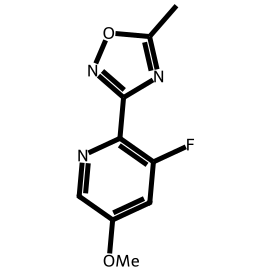 COc1cnc(-c2noc(C)n2)c(F)c1